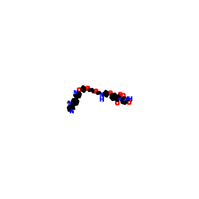 Cn1c2ccncc2c2ccc(-c3ccc(OC4CC(OCCCOCCNC5CC(Oc6ccc7c(c6)C(=O)N(C6CCC(=O)NC6=O)C7=O)C5)C4)nc3)cc21